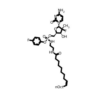 CCCCCCCC/C=C\CCCCCCCC(=O)NCCNP(=O)(OC[C@H]1O[C@@H](n2ccc(N)nc2=O)[C@](C)(F)[C@@H]1O)Oc1ccc(F)cc1